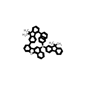 CC1(C)c2ccccc2-c2ccc(N(c3ccccc3)c3cc4c(oc5cccc(-c6ccc7c(c6)C(C)(C)c6cccc(-c8ccccc8)c6-7)c54)c4ccccc34)cc21